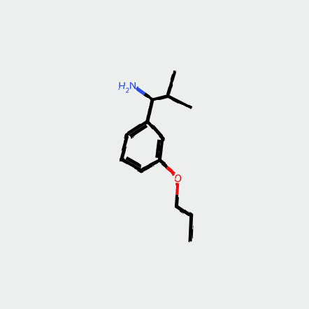 CCCOc1cccc(C(N)C(C)C)c1